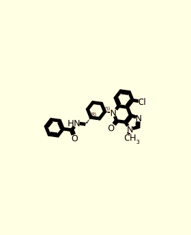 Cn1cnc2c3c(Cl)cccc3n([C@H]3CCC[C@@H](CNC(=O)c4ccccc4)C3)c(=O)c21